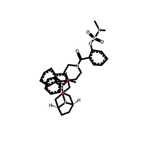 Cc1nc2ccccc2n1[C@H]1C[C@H]2CC[C@@H](C1)N2CCC1(c2ccccc2)CCN(C(=O)c2ccccc2OS(=O)(=O)N(C)C)CC1